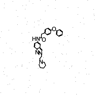 O=C(Cc1ccc(Oc2ccccc2)cc1)Nc1ccc2nn(CCN3CCCCC3)cc2c1